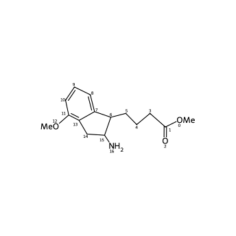 COC(=O)CCCC1c2cccc(OC)c2CC1N